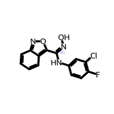 O/N=C(/Nc1ccc(F)c(Cl)c1)c1onc2ccccc12